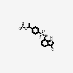 CC(O[SH](=O)=O)c1ccc(S(=O)(=O)Nc2cccc3c(Cl)c[nH]c23)cc1